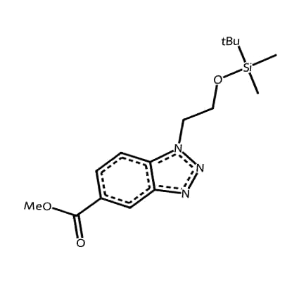 COC(=O)c1ccc2c(c1)nnn2CCO[Si](C)(C)C(C)(C)C